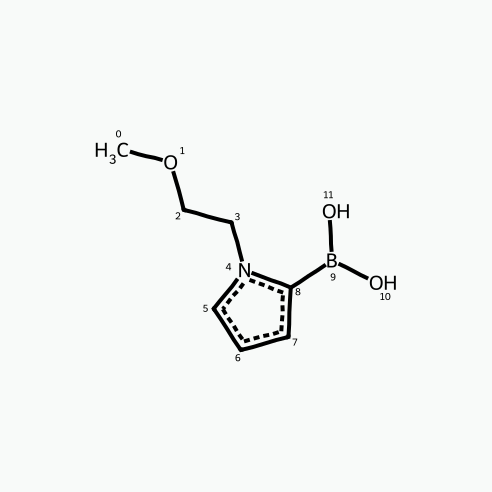 COCCn1cccc1B(O)O